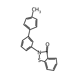 Cc1ccc(-c2cccc(-n3sc4ccccc4c3=O)c2)cc1